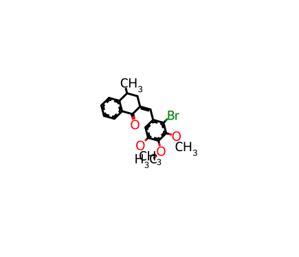 COc1cc(C=C2CC(C)c3ccccc3C2=O)c(Br)c(OC)c1OC